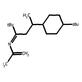 C=C(C)/N=C(\CC(C)C1CCC(C(C)(C)C)CC1)C(C)(C)C